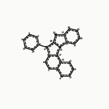 c1ccc(-n2c3ccc4ncccc4c3n3c4ccccc4nc23)cc1